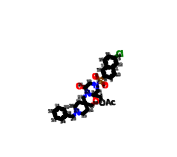 CC(=O)OCC12CN(S(=O)(=O)c3ccc4cc(Cl)ccc4c3)CC(=O)N1CC1(CCN(Cc3ccccc3)CC1)CO2